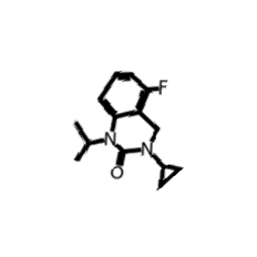 CC(C)N1C(=O)N(C2CC2)Cc2c(F)cccc21